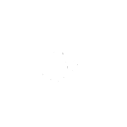 COC1[C@@H](C)C(=O)O[C@H](C)[C@@](C)(O)[C@H](O)[C@@H](C)N(C)C[C@H](C)C[C@@](C)(O)[C@H](O[C@H]2C[C@@H](N(C)C)C[C@@H](C)O2)[C@H]1C